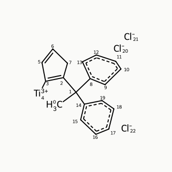 CC(C1=[C]([Ti+3])C=CC1)(c1ccccc1)c1ccccc1.[Cl-].[Cl-].[Cl-]